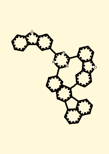 c1ccc(-c2nc(-c3ccc4oc5ccccc5c4c3)nc(-c3cccc4oc5ccc(-c6cccc7c6-c6cccc8cccc-7c68)cc5c34)n2)cc1